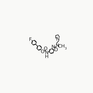 CN(CCN1CCCC1)c1nc2cc(NC(=O)Oc3ccc(-c4ccc(F)cc4)cc3)ccc2o1